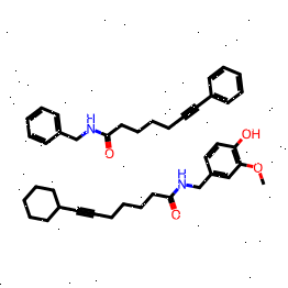 COc1cc(CNC(=O)CCCCC#CC2CCCCC2)ccc1O.O=C(CCCCC#Cc1ccccc1)NCc1ccccc1